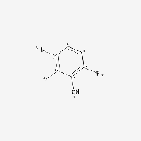 Cc1c(I)ccc(F)c1C#N